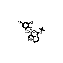 CC(C)(C)OC(=O)N1CCCn2ncc(S(=O)(=O)Oc3c(Cl)cc(Cl)cc3Cl)c21